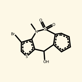 CN1c2c(Br)csc2C(O)c2ccccc2S1(=O)=O